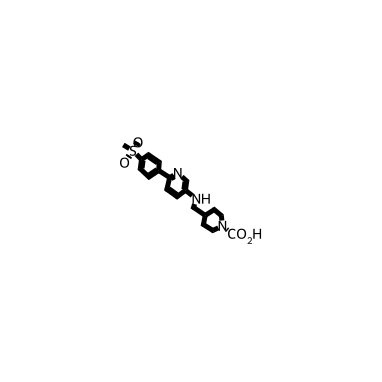 CS(=O)(=O)c1ccc(-c2ccc(NCC3CCN(C(=O)O)CC3)cn2)cc1